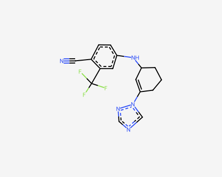 N#Cc1ccc(NC2C=C(n3cncn3)CCC2)cc1C(F)(F)F